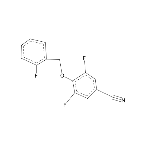 N#Cc1cc(F)c(OCc2ccccc2F)c(F)c1